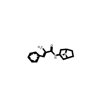 CC(=Cc1ccccc1)C(=O)NC1CC2CCC(C1)N2C